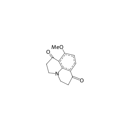 COc1ccc2c3c1C(=O)CCN3CCC2=O